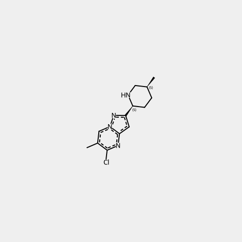 Cc1cn2nc([C@@H]3CC[C@H](C)CN3)cc2nc1Cl